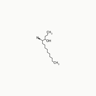 CCCCCCCCCCC(C#N)C(O)CCC